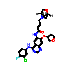 O=C(C=CCN1C[C@@H]2C[C@H]1CO2)Nc1cc2c(Nc3ccc(F)c(Cl)c3)ncnc2cc1OC1CCOC1